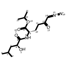 CC(C)C[C@H](O)C(=O)N[C@@H](CCC(=O)C=[N+]=[N-])C(=O)OC(C)C